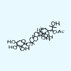 CC(=O)O[C@@H](C1C[C@@H](C)[C@H]2[C@@](O)(O1)[C@H](O)[C@@]1(C)C3CCC4C(C)(C)[C@@H](O[C@@H]5OCC(O)[C@H](O)[C@H]5O)CC[C@@]45CC35CC[C@]21C)C(C)(C)O